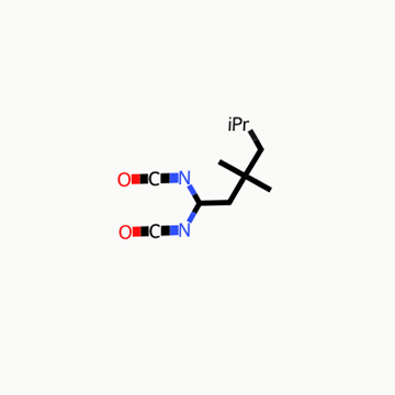 CC(C)CC(C)(C)CC(N=C=O)N=C=O